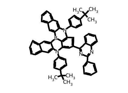 CC(C)(C)c1ccc(N2c3cc4ccccc4cc3B3c4cc5ccccc5cc4N(c4ccc(C(C)(C)C)cc4)c4cc(-c5nc(-c6ccccc6)nc6ccccc56)cc2c43)cc1